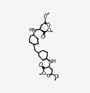 COC(=O)CC(NC1CCC(CC2CCC(NC(CC(=O)OC)C(=O)OC)CC2)CC1)C(=O)OC